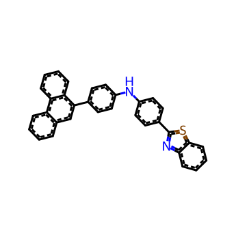 c1ccc2c(c1)cc(-c1ccc(Nc3ccc(-c4nc5ccccc5s4)cc3)cc1)c1ccccc12